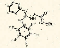 CCC(C)OC(=O)CNP(Oc1ccccc1)Oc1c(F)c(F)c(F)c(F)c1F